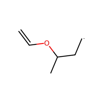 [CH2]CC(C)OC=C